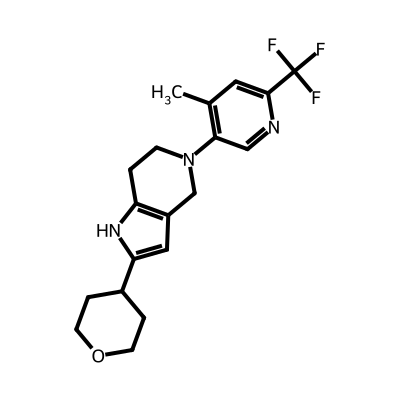 Cc1cc(C(F)(F)F)ncc1N1CCc2[nH]c(C3CCOCC3)cc2C1